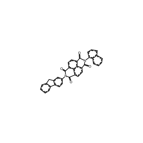 O=C1c2ccc3c4c(ccc(c24)C(=O)N1c1ccc2c(c1)Cc1ccccc1-2)C(=O)N(c1cccc2ccccc12)C3=O